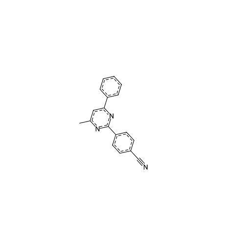 Cc1cc(-c2ccccc2)nc(-c2ccc(C#N)cc2)n1